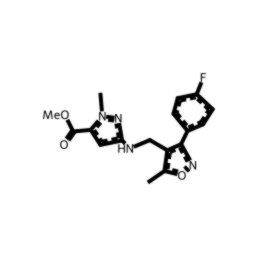 COC(=O)c1cc(NCc2c(-c3ccc(F)cc3)noc2C)nn1C